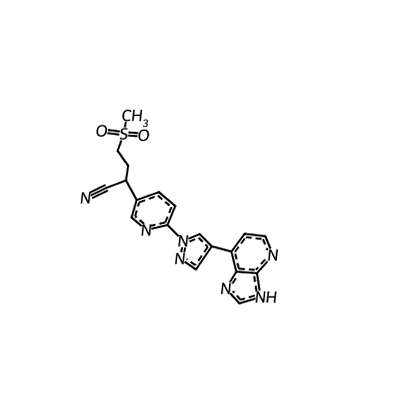 CS(=O)(=O)CCC(C#N)c1ccc(-n2cc(-c3ccnc4[nH]cnc34)cn2)nc1